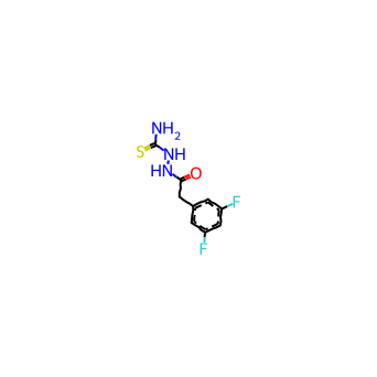 NC(=S)NNC(=O)Cc1cc(F)cc(F)c1